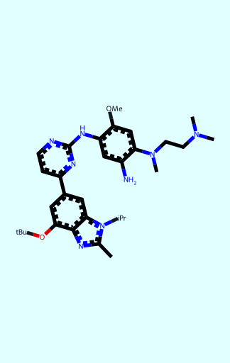 COc1cc(N(C)CCN(C)C)c(N)cc1Nc1nccc(-c2cc(OC(C)(C)C)c3nc(C)n(C(C)C)c3c2)n1